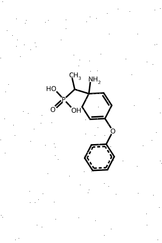 CC(C1(N)C=CC(Oc2ccccc2)=CC1)P(=O)(O)O